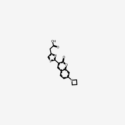 O=C(O)Cc1csc(-c2cc3ccc(N4CCC4)cc3oc2=O)n1